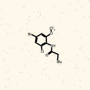 CC(C)(C)CC(=O)Nc1c(Cl)cc(Br)cc1OC(F)(F)F